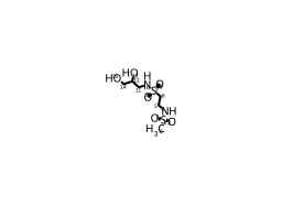 CS(=O)(=O)NCCS(=O)(=O)NCC(O)CO